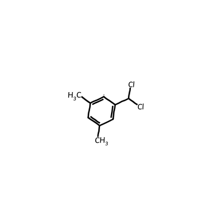 Cc1[c]c(C(Cl)Cl)cc(C)c1